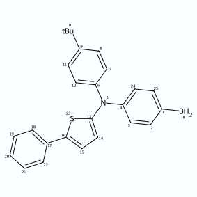 Bc1ccc(N(c2ccc(C(C)(C)C)cc2)c2ccc(-c3ccccc3)s2)cc1